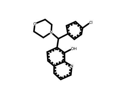 Oc1c(C(c2ccc(Cl)cc2)N2CCOCC2)ccc2cccnc12